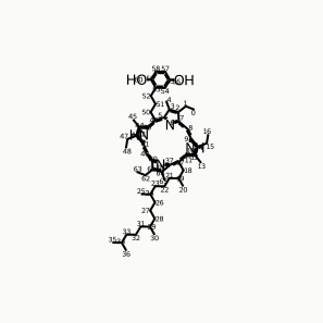 CCC1=C(C)c2nc1cc1[nH]c(c(C)c1CC)c(CC(C)CCCC(C)CCCC(C)CCCC(C)C)c1nc(cc3[nH]c(c(C)c3CC)c2CCCc2cc(O)ccc2O)C(CC)=C1C